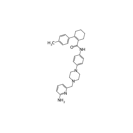 Cc1ccc(C2=C(C(=O)Nc3ccc(N4CCN(Cc5cccc(N)n5)CC4)cc3)CCCC2)cc1